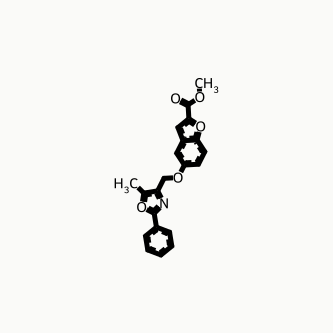 COC(=O)c1cc2cc(OCc3nc(-c4ccccc4)oc3C)ccc2o1